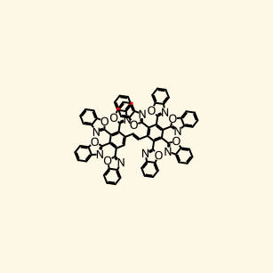 C(=C\c1c(-c2nc3ccccc3o2)c(-c2nc3ccccc3o2)c(-c2nc3ccccc3o2)c(-c2nc3ccccc3o2)c1-c1nc2ccccc2o1)/c1cc(-c2nc3ccccc3o2)c(-c2nc3ccccc3o2)c(-c2nc3ccccc3o2)c1-c1nc2ccccc2o1